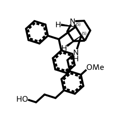 COc1ccc(CCCO)cc1CN[C@H]1C2CCN(CC2)[C@H]1C(c1ccccc1)c1ccccc1